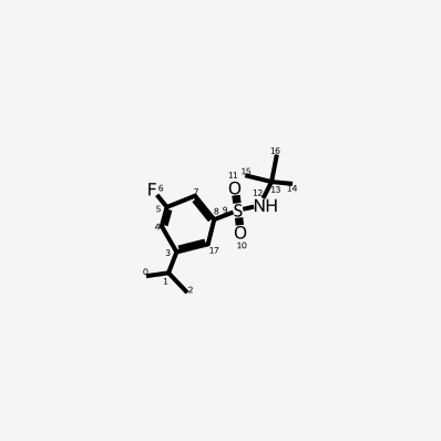 CC(C)c1cc(F)cc(S(=O)(=O)NC(C)(C)C)c1